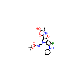 CCC(NC(=O)c1cn(CCNC(=O)OC(C)(C)C)c2cc(NC3CCCCC3)c(F)cc2c1=O)C(=O)O